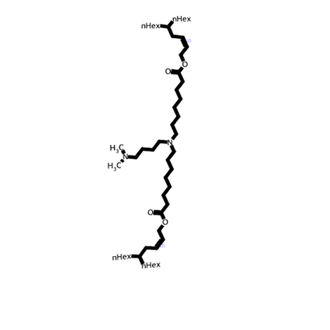 CCCCCCC(C/C=C\COC(=O)CCCCCCCN(CCCCCCCC(=O)OC/C=C\CC(CCCCCC)CCCCCC)CCCCN(C)C)CCCCCC